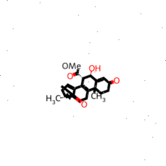 COC(=O)[C@H]1C2=C(CCC34C(=O)CC[C@]3(C)CC=C24)C2(C)CCC(=O)C=C2[C@H]1O